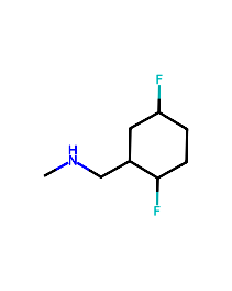 CNCC1CC(F)CCC1F